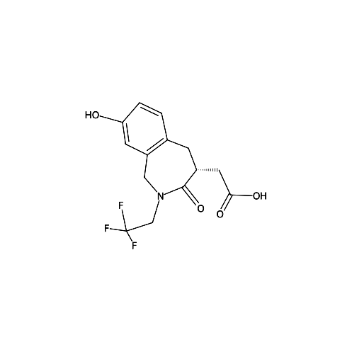 O=C(O)C[C@H]1Cc2ccc(O)cc2CN(CC(F)(F)F)C1=O